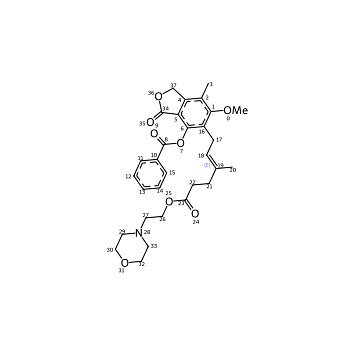 COc1c(C)c2c(c(OC(=O)c3ccccc3)c1C/C=C(\C)CCC(=O)OCCN1CCOCC1)C(=O)OC2